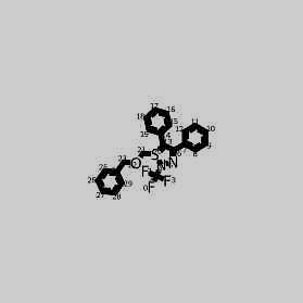 FC(F)(F)N1N=C(c2ccccc2)C(c2ccccc2)=S1COCc1ccccc1